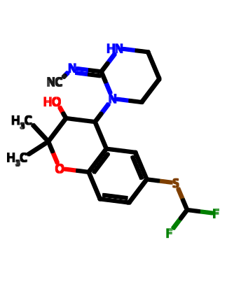 CC1(C)Oc2ccc(SC(F)F)cc2C(N2CCCN/C2=N/C#N)C1O